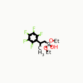 CCO[Si](O)(CC(C)c1c(F)c(F)c(F)c(F)c1F)OCC